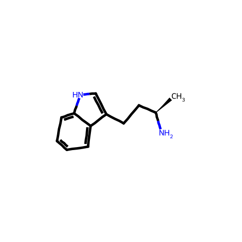 C[C@@H](N)CCc1c[nH]c2ccccc12